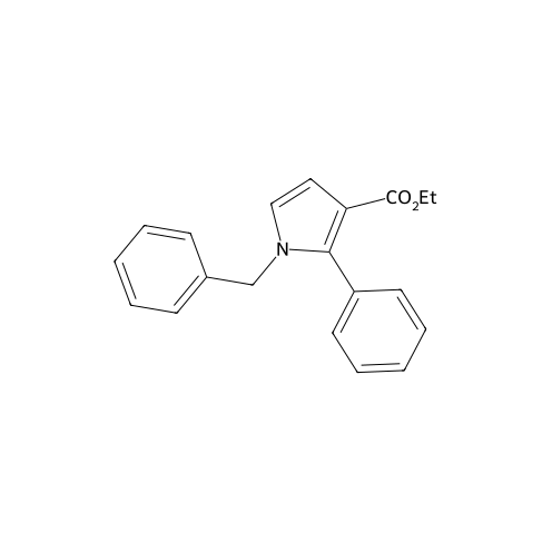 CCOC(=O)c1ccn(Cc2ccccc2)c1-c1ccccc1